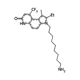 CCc1c(C)c2c3c(C(F)(F)F)cc(=O)[nH]c3ccc2n1CCCCCCCCCN